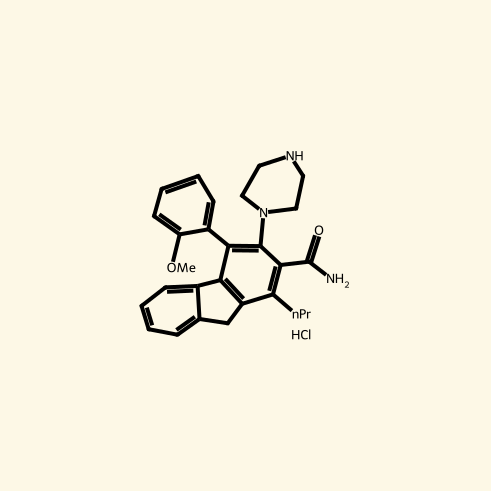 CCCc1c2c(c(-c3ccccc3OC)c(N3CCNCC3)c1C(N)=O)-c1ccccc1C2.Cl